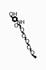 C#CCOCCOCCOCCOCCOCCC(=O)Nc1ccc(CO)cc1